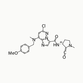 COc1ccc(CN(C)c2cc(Cl)nn3c(C(=O)N[C@@H]4CCN(C)C4=C=O)cnc23)cc1